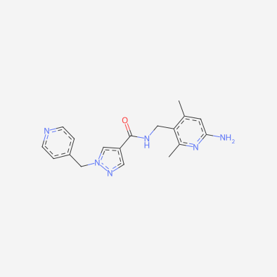 Cc1cc(N)nc(C)c1CNC(=O)c1cnn(Cc2ccncc2)c1